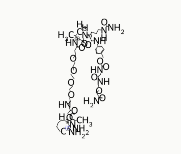 CC(C)[C@H](NC(=O)CCOCCOCCOCCOCCNC(=O)COC1CCCCC/C(N)=C\1N(N)C(C)C)C(=O)N[C@@H](CCCNC(N)=O)C(=O)Nc1ccc(COC(=O)NCC(=O)NCOCC(N)=O)cc1